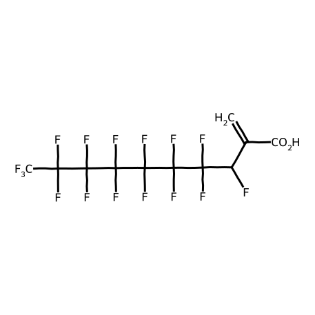 C=C(C(=O)O)C(F)C(F)(F)C(F)(F)C(F)(F)C(F)(F)C(F)(F)C(F)(F)C(F)(F)F